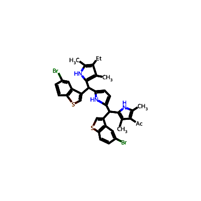 CCc1c(C)[nH]c(C(c2ccc(C(c3[nH]c(C)c(C(C)=O)c3C)c3csc4ccc(Br)cc34)[nH]2)c2csc3ccc(Br)cc23)c1C